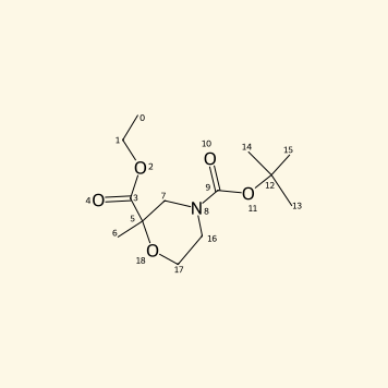 CCOC(=O)C1(C)CN(C(=O)OC(C)(C)C)CCO1